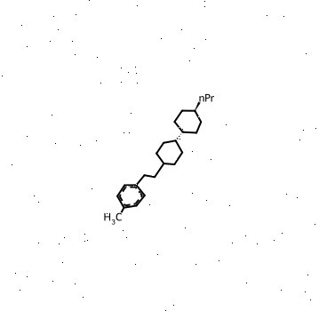 CCC[C@H]1CC[C@H](C2CCC(CCc3ccc(C)cc3)CC2)CC1